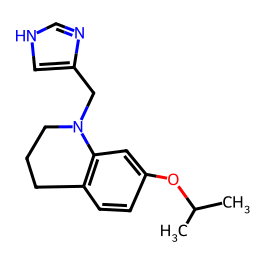 CC(C)Oc1ccc2c(c1)N(Cc1c[nH]cn1)CCC2